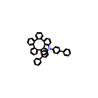 c1ccc(-c2ccc(N(c3ccc(-c4ccccc4)cc3)c3cccc4c5ccccc5c5ccccc5c5ccccc5c5ccccc5c34)cc2)cc1